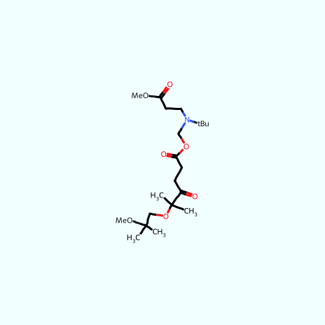 COC(=O)CCN(COC(=O)CCC(=O)C(C)(C)OCC(C)(C)OC)C(C)(C)C